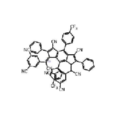 N#CC1=C(c2ccccc2)/C(=C(/C#N)c2cc(C#N)cc(C#N)c2)c2c1c(-c1ccc(C(F)(F)F)cc1)c1c(c2-c2ccc(C(F)(F)F)cc2)C(C(C#N)c2cc(C#N)cc(C#N)c2)C(c2ccccc2)=C1C#N